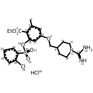 CCOC(=O)c1c(C)cc(OCC2CCN(C(=N)N)CC2)cc1OS(=O)(=O)c1ccccc1Cl.Cl